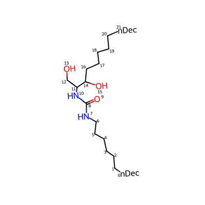 CCCCCCCCCCCCCCCCNC(=O)NC(CO)C(O)CCCCCCCCCCCCCCC